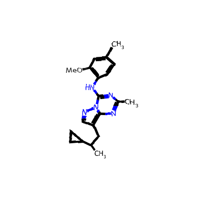 COc1cc(C)ccc1Nc1nc(C)nc2c(CC(C)C3CC3)cnn12